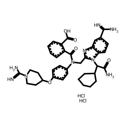 Cl.Cl.N=C(N)c1ccc2c(c1)nc(CN(C(=O)c1ccccc1C(=O)O)c1ccc(OC3CCN(C(=N)N)CC3)cc1)n2C(C(N)=O)C1CCCCC1